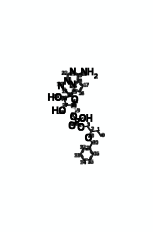 CCC(COP(=O)(O)OC[C@H]1O[C@@](C#N)(c2ccc3c(N)ncnn23)[C@@H](O)C1O)OCc1ccccc1